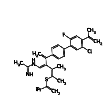 C=C(C(=C\NC(C)=N)/C(C)=C(/C)SC(=C)C(C)C)c1ccc(-c2cc(Cl)c(C(=C)C)cc2F)cc1